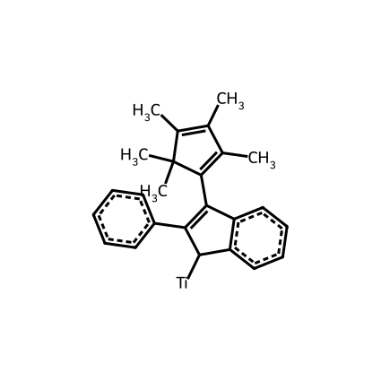 CC1=C(C)C(C)(C)C(C2=C(c3ccccc3)[CH]([Ti])c3ccccc32)=C1C